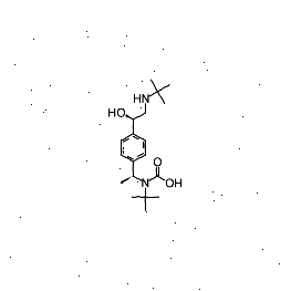 C[C@@H](c1ccc([C@@H](O)CNC(C)(C)C)cc1)N(C(=O)O)C(C)(C)C